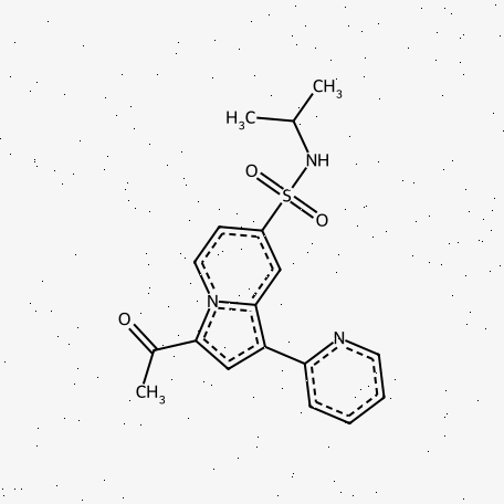 CC(=O)c1cc(-c2ccccn2)c2cc(S(=O)(=O)NC(C)C)ccn12